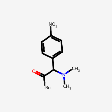 CCC(C)C(=O)C(c1ccc([N+](=O)[O-])cc1)N(C)C